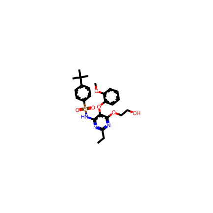 CCc1nc(NS(=O)(=O)c2ccc(C(C)(C)C)cc2)c(Oc2ccccc2OC)c(OCCO)n1